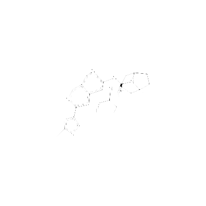 Cc1ncc(-c2cc3cc(NC(=O)N4C5CC[C@H]4C[C@H](NC(CF)CF)C5)ncc3cn2)o1